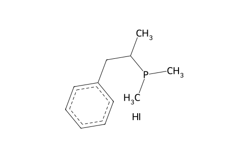 CC(Cc1ccccc1)P(C)C.I